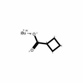 C[CH][C@@H](C)OC(=O)C1CCC1